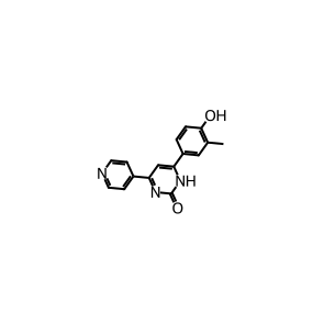 Cc1cc(-c2cc(-c3ccncc3)nc(=O)[nH]2)ccc1O